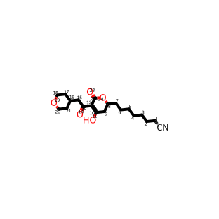 N#CCCCCCCCC1CC(O)=C(C(=O)CC2CCOCC2)C(=O)O1